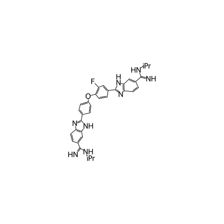 CC(C)NC(=N)c1ccc2nc(-c3ccc(Oc4ccc(-c5nc6ccc(C(=N)NC(C)C)cc6[nH]5)cc4F)cc3)[nH]c2c1